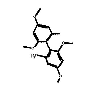 COc1cc(C)c(-c2c(P)cc(OC)cc2OC)c(OC)c1